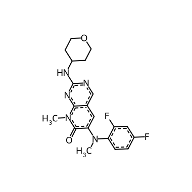 CN(c1ccc(F)cc1F)c1cc2cnc(NC3CCOCC3)nc2n(C)c1=O